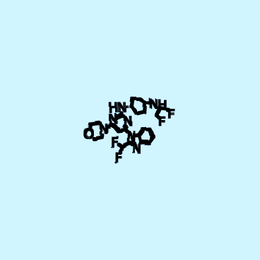 FCC(CF)N[C@H]1CC[C@H](Nc2nc(N3CCOCC3)cc(-n3c(C(F)F)nc4ccccc43)n2)CC1